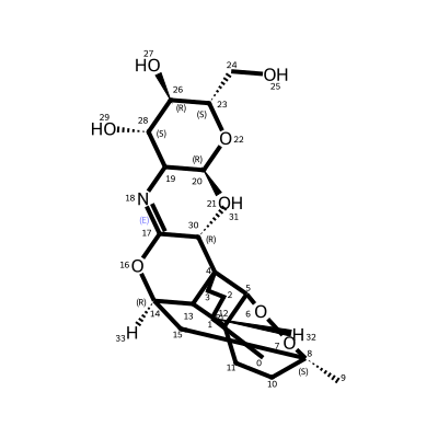 C[C@@H]1CCC23C4OO[C@@]5(C)CCC41C2[C@@H](C5)O/C(=N/C1[C@H](O)O[C@@H](CO)[C@H](O)[C@H]1O)[C@@H]3C